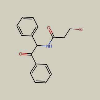 O=C(CCBr)NC(C(=O)c1ccccc1)c1ccccc1